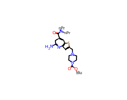 CCCN(CCC)C(=O)C1=Cc2sc(CN3CCN(C(=O)OC(C)(C)C)CC3)cc2N=C(N)C1